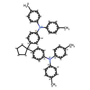 Cc1ccc(N(c2ccc(C)cc2)c2ccc(C3(c4ccc(N(c5ccc(C)cc5)c5ccc(C)cc5)cc4)CCCC3)cc2)cc1